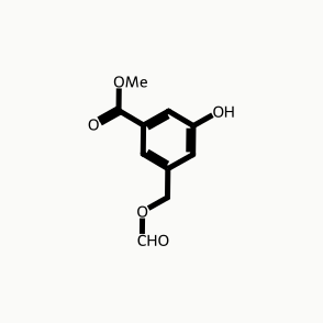 COC(=O)c1cc(O)cc(COC=O)c1